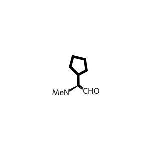 CN[C@H](C=O)C1CCCC1